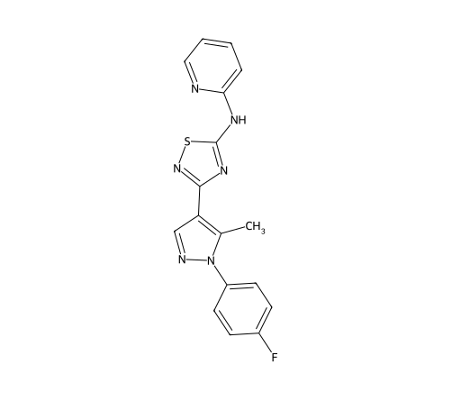 Cc1c(-c2nsc(Nc3ccccn3)n2)cnn1-c1ccc(F)cc1